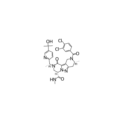 CNC(=O)[C@@H]1CN([C@H](C)c2ccc(C(C)(C)O)cn2)C(=O)c2c3c(nn21)C[C@@H](C)N(C(=O)c1ccc(Cl)c(Cl)c1)C3